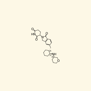 O=C1CCC(N2Cc3cc(C[C@H]4CCCC[C@@H]4N[C@@H]4CCCOC4)ccc3C2=O)C(=O)N1